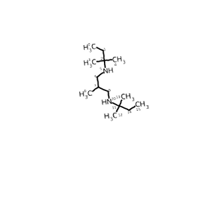 CCC(C)(C)NCC(C)CNC(C)(C)CC